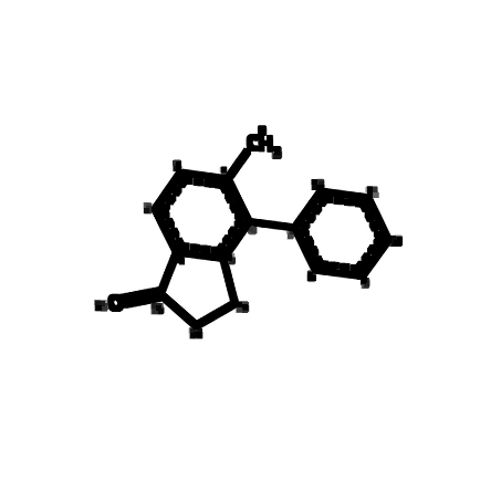 Cc1ccc2c(c1-c1ccccc1)CCC2=O